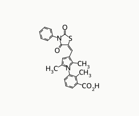 Cc1c(C(=O)O)cccc1-n1c(C)cc(C=C2SC(=O)N(c3ccccc3)C2=O)c1C